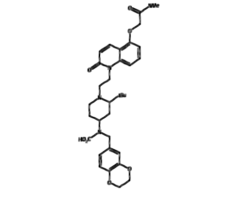 CNC(=O)COc1cccc2c1ccc(=O)n2CCN1CCC(N(Cc2ccc3c(c2)OCCO3)C(=O)O)CC1C(C)(C)C